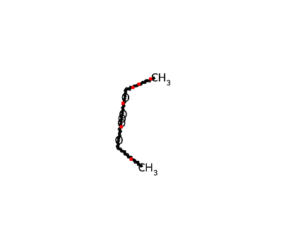 CCCC/C=C/CCCCCCCC/C=C\CCOCCCCCCCOCOCOCCCCCCCOCC/C=C\CCCCCCCC/C=C/CCCC